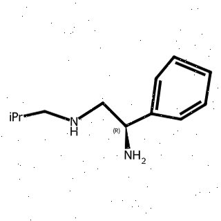 CC(C)CNC[C@H](N)c1ccccc1